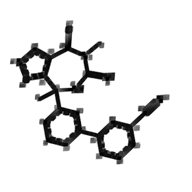 CN1C(=N)NC(C)(c2cccc(-c3cccc(C#N)c3)c2)c2oncc2C1=O